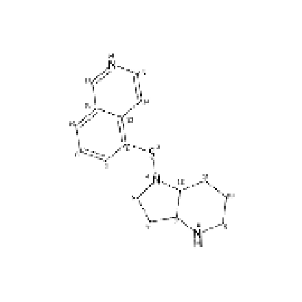 c1cc(SN2CCC3NCCCC32)c2ccncc2c1